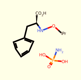 CC(C)ON[C@@H](Cc1ccccc1)C(=O)O.NP(=O)(O)O